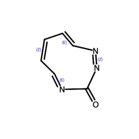 O=C1\N=N/C=C/C=C\C=N\1